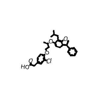 CC(C)CC1=C2OCC(c3ccccc3)=C2CC=C1OC(C)CCOc1ccc(CC(=O)O)cc1Cl